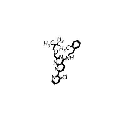 Cc1ccccc1CCNc1nc(COCC(C)C)nc2nc(-c3ncccc3Cl)ccc12